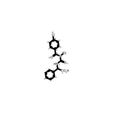 CCN(C(=O)NC(C(=O)O)c1ccccc1)C(=O)c1ccc(Cl)cc1